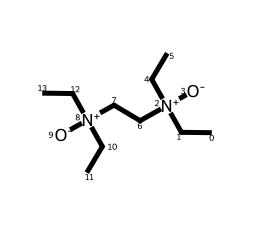 CC[N+]([O-])(CC)CC[N+]([O-])(CC)CC